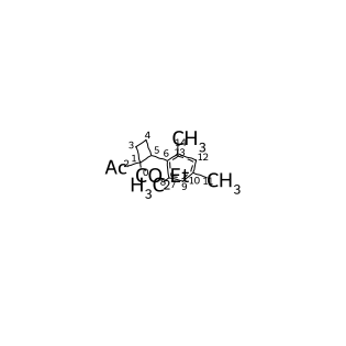 CCOC(=O)C1(C(C)=O)CCC1c1c(C)cc(C)cc1C